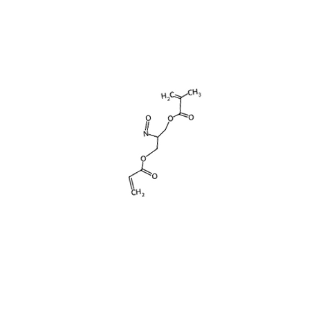 C=CC(=O)OCC(COC(=O)C(=C)C)N=O